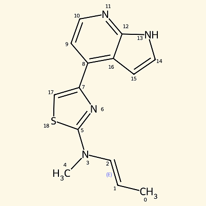 C/C=C/N(C)c1nc(-c2ccnc3[nH]ccc23)cs1